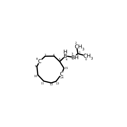 CC(C)BBC1CCCCCCCCCC1